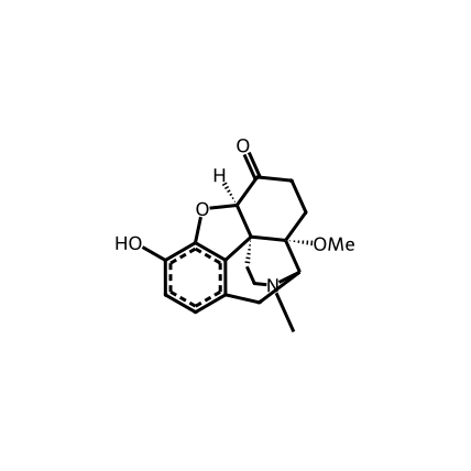 CO[C@@]12CCC(=O)[C@@H]3Oc4c(O)ccc5c4[C@@]31CCN(C)C2C5